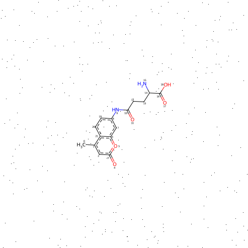 Cc1cc(=O)oc2cc(NC(=O)CCC(N)C(=O)O)ccc12